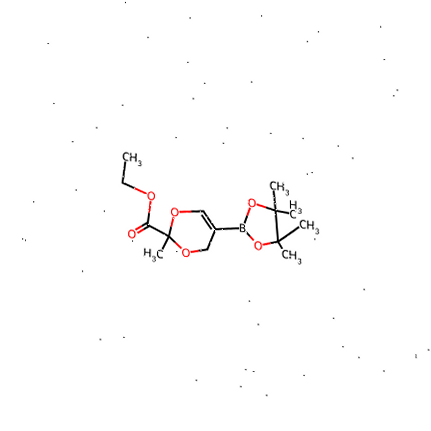 CCOC(=O)C1(C)OC=C(B2OC(C)(C)C(C)(C)O2)CO1